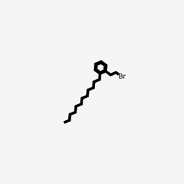 CCCCCCCCCCCCc1ccccc1CCBr